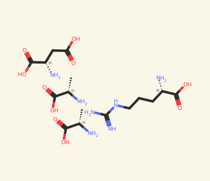 C[C@H](N)C(=O)O.C[C@H](N)C(=O)O.N=C(N)NCCC[C@H](N)C(=O)O.N[C@@H](CC(=O)O)C(=O)O